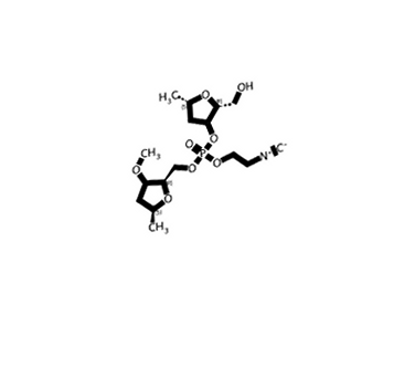 [C-]#[N+]CCOP(=O)(OC[C@H]1O[C@@H](C)CC1OC)OC1C[C@H](C)O[C@@H]1CO